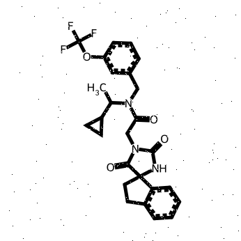 CC(C1CC1)N(Cc1cccc(OC(F)(F)F)c1)C(=O)CN1C(=O)NC2(CCc3ccccc32)C1=O